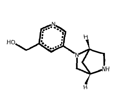 OCc1cncc(N2C[C@@H]3C[C@H]2CN3)c1